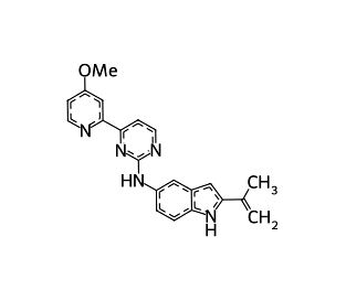 C=C(C)c1cc2cc(Nc3nccc(-c4cc(OC)ccn4)n3)ccc2[nH]1